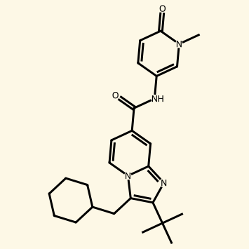 Cn1cc(NC(=O)c2ccn3c(CC4CCCCC4)c(C(C)(C)C)nc3c2)ccc1=O